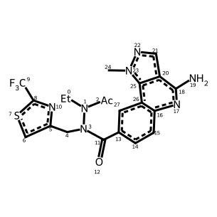 CCN(C(C)=O)N(Cc1csc(C(F)(F)F)n1)C(=O)c1ccc2nc(N)c3cnn(C)c3c2c1